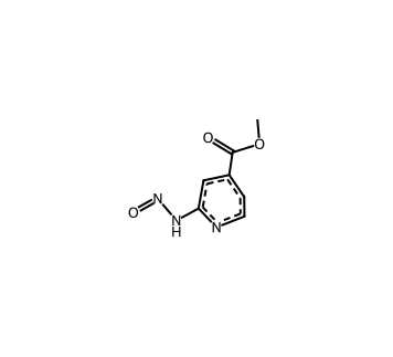 COC(=O)c1ccnc(NN=O)c1